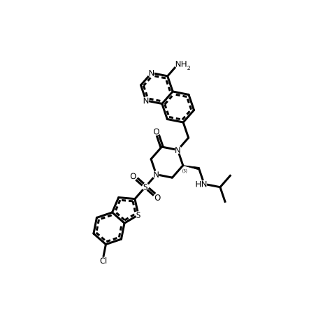 CC(C)NC[C@H]1CN(S(=O)(=O)c2cc3ccc(Cl)cc3s2)CC(=O)N1Cc1ccc2c(N)ncnc2c1